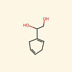 OCC(O)C1=CCC=CC1